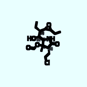 CCC1OC1[C@H](CC)[C@H](O)[C@H]1NC(=O)[C@H](CCCl)[C@]1(C)OC=O